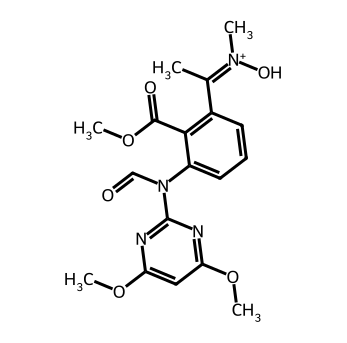 COC(=O)c1c(C(C)=[N+](C)O)cccc1N(C=O)c1nc(OC)cc(OC)n1